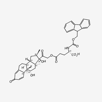 C[C@@H]1C[C@H]2[C@@H]3CCC4=CC(=O)C=C[C@]4(C)[C@@]3(F)[C@@H](O)C[C@]2(C)[C@@]1(O)C(=O)COC(=O)CC[C@H](NC(=O)OCC1c2ccccc2-c2ccccc21)C(=O)O